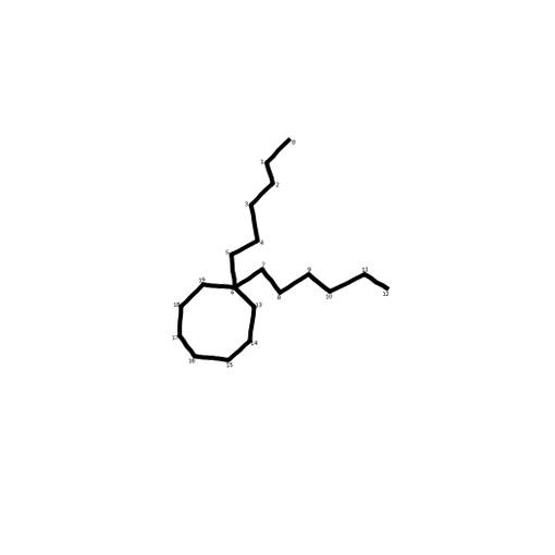 CCCCCCC1(CCCCCC)CCCCCCC1